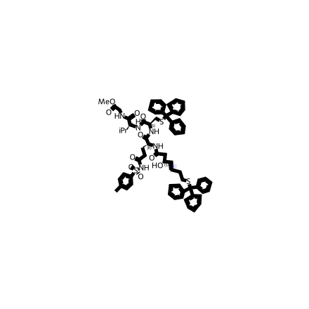 COC(=O)CNC(=O)[C@H](NC(=O)[C@@H](CSC(c1ccccc1)(c1ccccc1)c1ccccc1)NC(=O)[C@@H](CCC(=O)NS(=O)(=O)c1ccc(C)cc1)NC(=O)C[C@H](O)/C=C/CCSC(c1ccccc1)(c1ccccc1)c1ccccc1)C(C)C